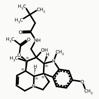 CC[C@]12C=CCN3CC[C@@]4(c5ccc(OC)cc5N(C)[C@H]4C(O)(CNC(=O)CC(C)(C)C)[C@@H]1OC(C)=O)[C@@H]32